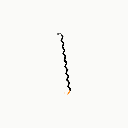 CC(C)CCCCCCCC=CCCCCCCCCP